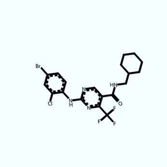 O=C(NCC1CCCCC1)c1cnc(Nc2ccc(Br)cc2Cl)nc1C(F)(F)F